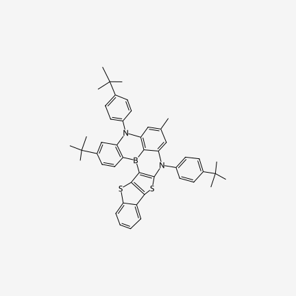 Cc1cc2c3c(c1)N(c1ccc(C(C)(C)C)cc1)c1sc4c(sc5ccccc54)c1B3c1ccc(C(C)(C)C)cc1N2c1ccc(C(C)(C)C)cc1